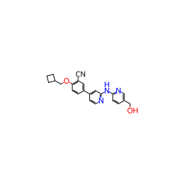 N#Cc1cc(-c2ccnc(Nc3ccc(CO)cn3)c2)ccc1OCC1CCC1